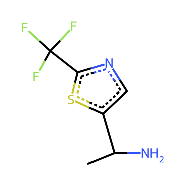 CC(N)c1cnc(C(F)(F)F)s1